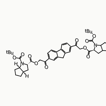 CC(C)(C)OC(=O)N1C2CCCC2C[C@H]1C(=O)OCC(=O)c1ccc2c(c1)Cc1cc(C(=O)COC(=O)[C@@H]3C[C@@H]4CCC[C@@H]4N3C(=O)OC(C)(C)C)ccc1-2